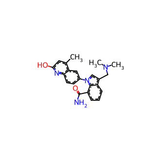 Cc1cc(O)nc2ccc(-n3cc(CN(C)C)c4cccc(C(N)=O)c43)cc12